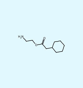 NCCOC(=O)CC1CCCCC1